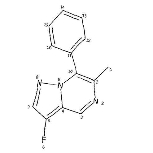 Cc1ncc2c(F)cnn2c1-c1ccccc1